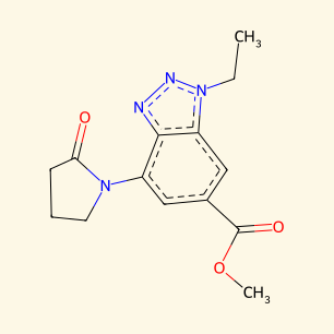 CCn1nnc2c(N3CCCC3=O)cc(C(=O)OC)cc21